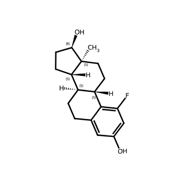 C[C@]12CC[C@@H]3c4c(F)cc(O)cc4CC[C@H]3[C@@H]1CC[C@H]2O